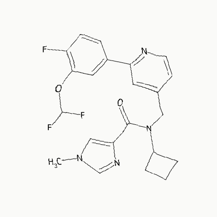 Cn1cnc(C(=O)N(Cc2ccnc(-c3ccc(F)c(OC(F)F)c3)c2)C2CCC2)c1